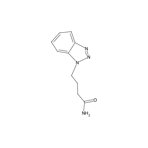 NC(=O)CCCn1nnc2ccccc21